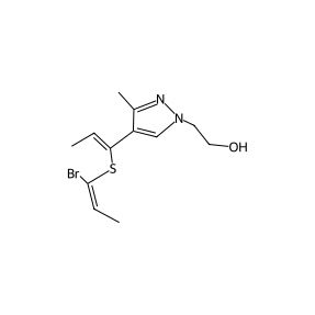 C/C=C(\S/C(Br)=C\C)c1cn(CCO)nc1C